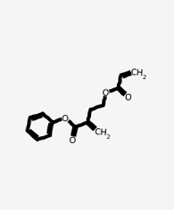 C=CC(=O)OCCC(=C)C(=O)Oc1ccccc1